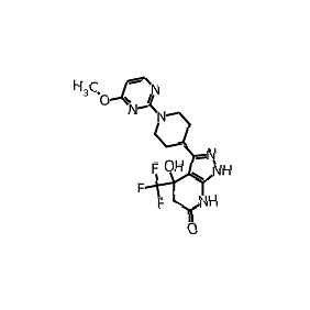 COc1ccnc(N2CCC(c3n[nH]c4c3C(O)(C(F)(F)F)CC(=O)N4)CC2)n1